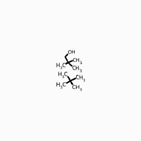 CC(C)(C)C.CC(C)(C)CO